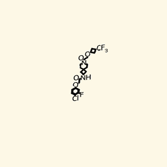 O=C(COc1ccc(Cl)c(F)c1)NC1CC2(CCN(C(=O)CO[C@H]3C[C@@H](C(F)(F)F)C3)CC2)C1